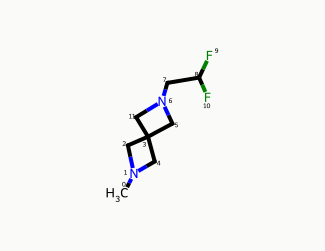 CN1CC2(C1)CN(CC(F)F)C2